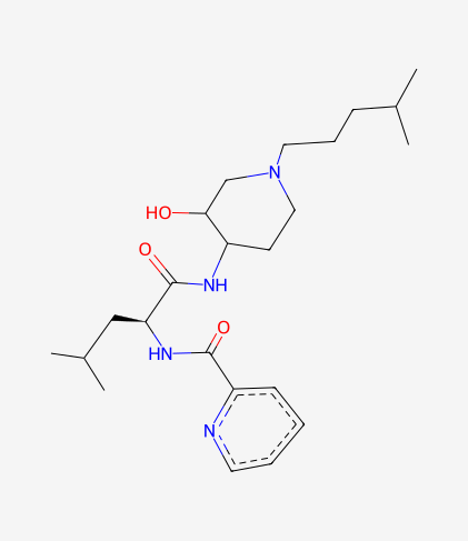 CC(C)CCCN1CCC(NC(=O)[C@H](CC(C)C)NC(=O)c2ccccn2)C(O)C1